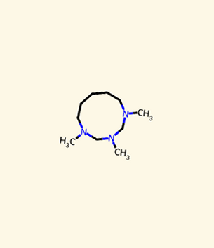 CN1CCCCCN(C)CN(C)C1